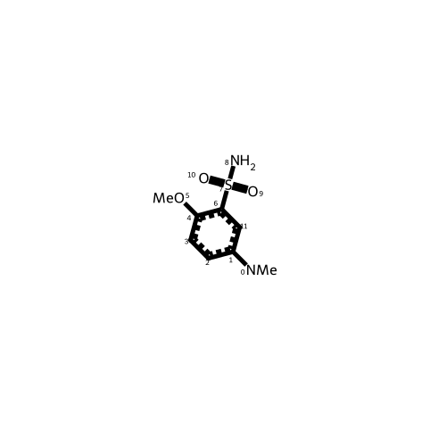 [CH2+][N-]c1ccc(OC)c(S(N)(=O)=O)c1